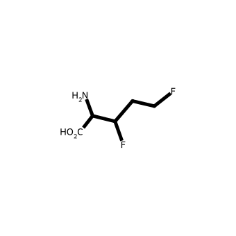 NC(C(=O)O)C(F)CCF